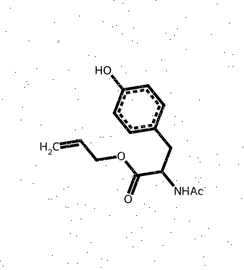 C=CCOC(=O)C(Cc1ccc(O)cc1)NC(C)=O